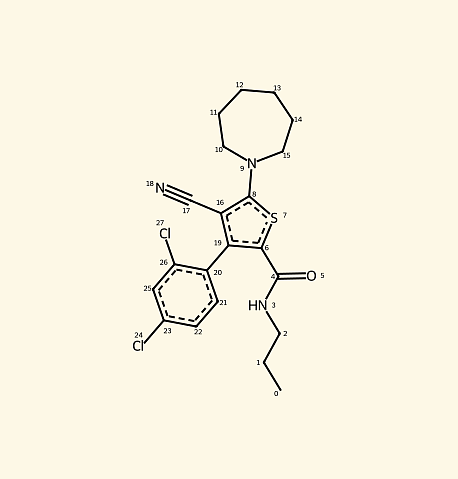 CCCNC(=O)c1sc(N2CCCCCC2)c(C#N)c1-c1ccc(Cl)cc1Cl